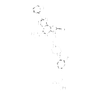 C[S+]([O-])CCOc1ccc(N2CCN(CCn3c(=O)sc4c3nc(N)n3nc(-c5ccco5)nc43)CC2)c(F)c1